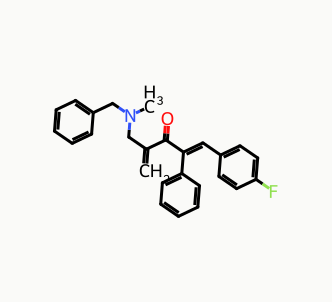 C=C(CN(C)Cc1ccccc1)C(=O)/C(=C/c1ccc(F)cc1)c1ccccc1